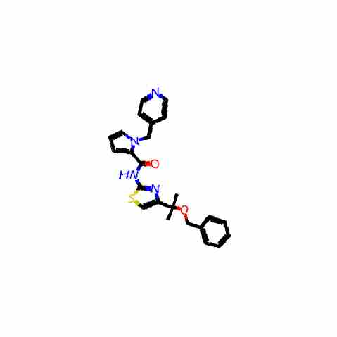 CC(C)(OCc1ccccc1)c1csc(NC(=O)c2cccn2Cc2ccncc2)n1